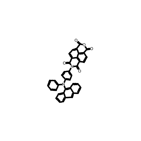 O=C1OC(=O)c2ccc3c4c(ccc1c24)C(=O)N(c1ccc(N(c2ccccc2)c2c4ccccc4cc4ccccc24)cc1)C3=O